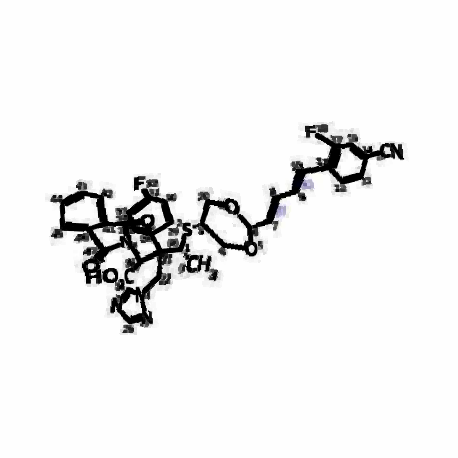 C[C@@H](S[C@H]1CO[C@H](/C=C/C=C/c2ccc(C#N)cc2F)OC1)[C@@](Cn1cncn1)(c1ccc(F)cc1F)C(C(=O)O)N1C(=O)c2ccccc2C1=O